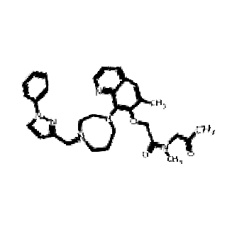 CC(=O)CN(C)C(=O)COc1c(C)cc2cccnc2c1N1CCCN(Cc2ccn(-c3ccccc3)n2)CC1